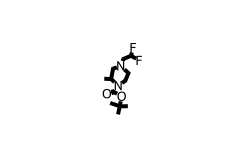 CC1CN(CC(F)F)CCN1C(=O)OC(C)(C)C